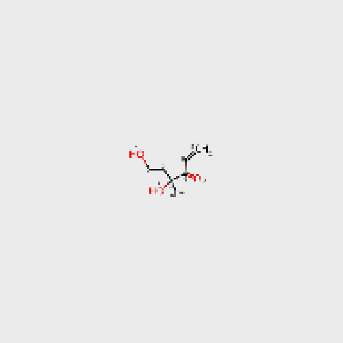 [CH2]CC(O)(CCO)C(=O)C=C